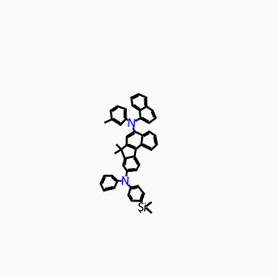 Cc1cccc(N(c2cccc3ccccc23)c2cc3c(c4ccccc24)-c2ccc(N(c4ccccc4)c4ccc([Si](C)(C)C)cc4)cc2C3(C)C)c1